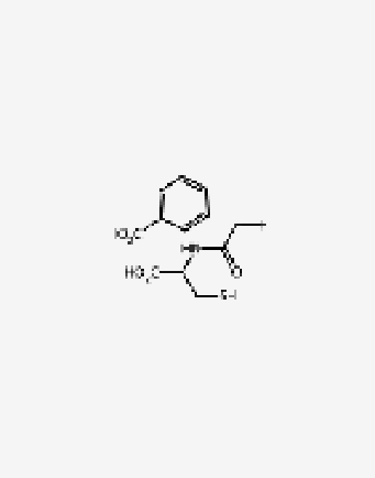 O=C(CF)NC(CS)C(=O)O.O=C(O)c1ccccc1